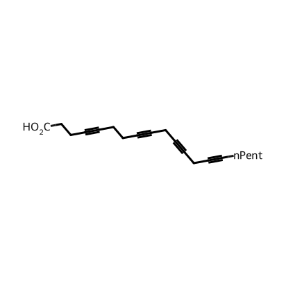 CCCCCC#CCC#CCC#CCCC#CCCC(=O)O